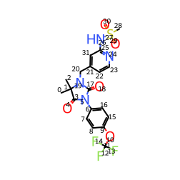 CC1(C)C(=O)N(c2ccc(OC(F)(F)F)cc2)C(=O)N1Cc1ccnc(NS(C)(=O)=O)c1